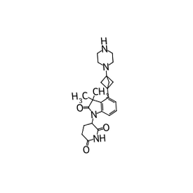 CC1(C)C(=O)N(C2CCC(=O)NC2=O)c2cccc(C34CC(N5CCNCC5)(C3)C4)c21